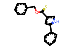 S=C(OCc1ccccc1)c1c[nH]c(-c2ccccc2)c1